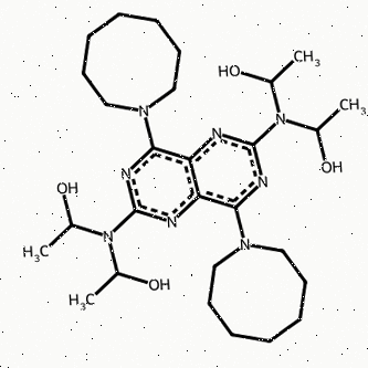 CC(O)N(c1nc(N2CCCCCCC2)c2nc(N(C(C)O)C(C)O)nc(N3CCCCCCC3)c2n1)C(C)O